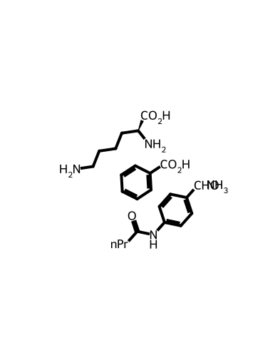 CCCC(=O)Nc1ccc(C=O)cc1.N.NCCCC[C@H](N)C(=O)O.O=C(O)c1ccccc1